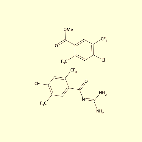 COC(=O)c1cc(C(F)(F)F)c(Cl)cc1C(F)(F)F.NC(N)=NC(=O)c1cc(C(F)(F)F)c(Cl)cc1C(F)(F)F